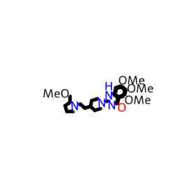 COCC1CCCN1CCC1CCN(c2nc(=O)c3c(OC)c(OC)c(OC)cc3[nH]2)CC1